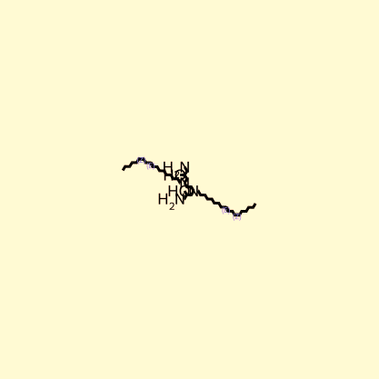 CCCCC/C=C\C/C=C/CCCCCCCCN(CCN(CCCCCCCC/C=C/C/C=C\CCCCC)CC(O)CN)CC(O)CN